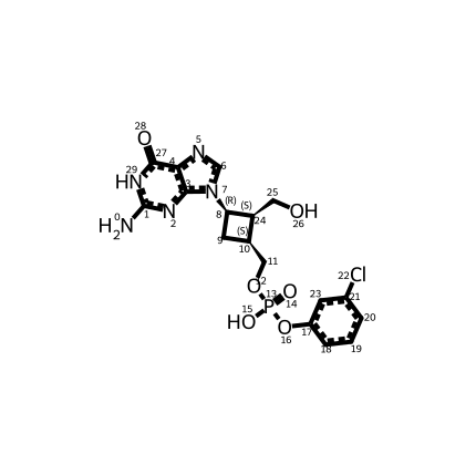 Nc1nc2c(ncn2[C@@H]2C[C@H](COP(=O)(O)Oc3cccc(Cl)c3)[C@@H]2CO)c(=O)[nH]1